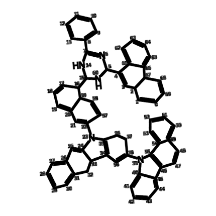 C1=CC2C=C(C3N=C(c4ccccc4)NC(C4C=CC=C5C=C(N6C7=Cc8ccccc8CC7C7=C6CCC(n6c8ccccc8c8ccc9ccccc9c86)=C7)C=CC54)N3)c3ccccc3C2C=C1